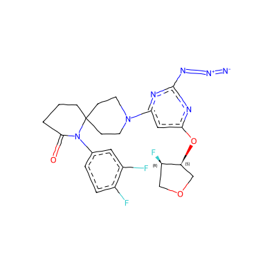 [N-]=[N+]=Nc1nc(O[C@H]2COC[C@H]2F)cc(N2CCC3(CCCC(=O)N3c3ccc(F)c(F)c3)CC2)n1